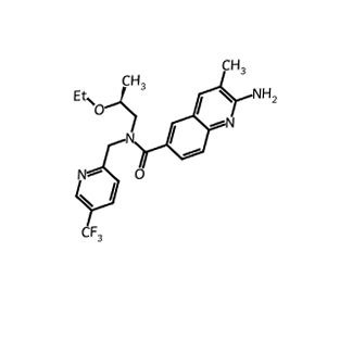 CCO[C@@H](C)CN(Cc1ccc(C(F)(F)F)cn1)C(=O)c1ccc2nc(N)c(C)cc2c1